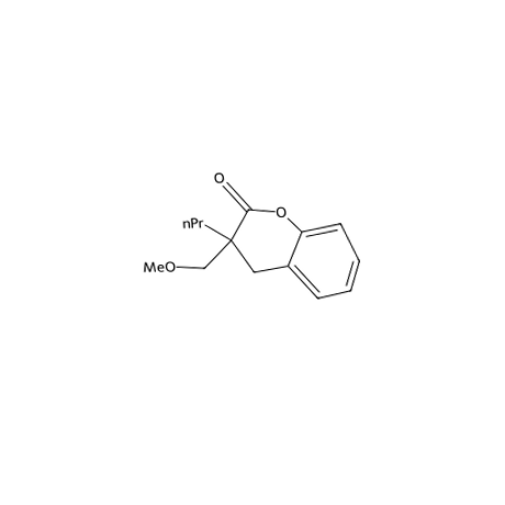 CCCC1(COC)Cc2ccccc2OC1=O